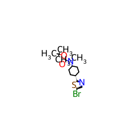 CN(C(=O)OC(C)(C)C)[C@H]1CC[C@H](c2ncc(Br)s2)CC1